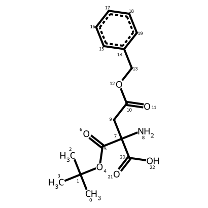 CC(C)(C)OC(=O)C(N)(CC(=O)OCc1ccccc1)C(=O)O